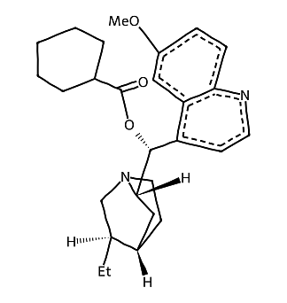 CC[C@H]1CN2CC[C@H]1C[C@H]2[C@H](OC(=O)C1CCCCC1)c1ccnc2ccc(OC)cc12